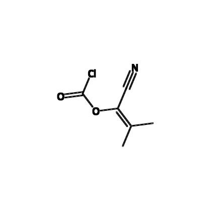 CC(C)=C(C#N)OC(=O)Cl